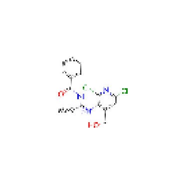 CS/C(=N/c1c(CO)cc(Cl)nc1Cl)NC(=O)c1ccccc1